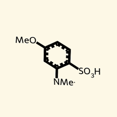 C[N]c1cc(OC)ccc1S(=O)(=O)O